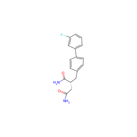 NC(=O)C[C@@H](Cc1ccc(-c2cccc(F)c2)cc1)C(N)=O